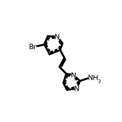 Nc1nccc(C=Cc2cncc(Br)c2)n1